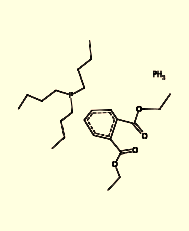 CCCCP(CCCC)CCCC.CCOC(=O)c1ccccc1C(=O)OCC.P